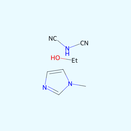 CCO.Cn1ccnc1.N#CNC#N